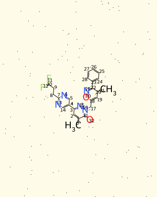 Cc1cc(-c2cnc(CCC(F)F)nc2)nn(CC2=C[C@H](C)C(c3ccccc3)=NO2)c1=O